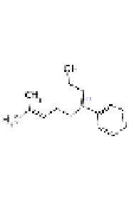 CC(C)=CCC/C(=C\CO)c1ccccc1